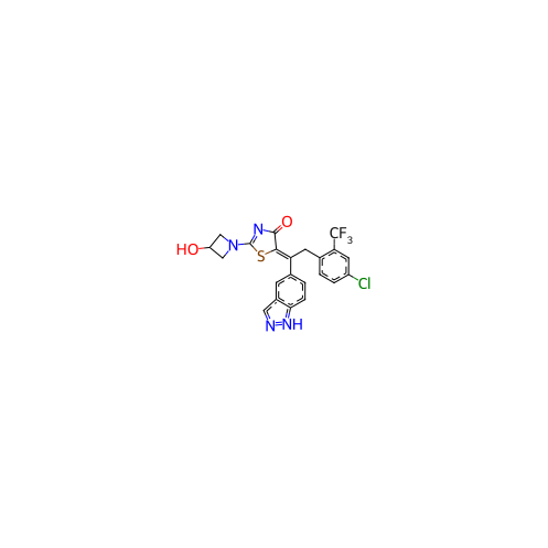 O=C1N=C(N2CC(O)C2)SC1=C(Cc1ccc(Cl)cc1C(F)(F)F)c1ccc2[nH]ncc2c1